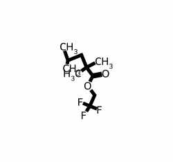 CC(C)CC(C)(C)C(=O)OCC(F)(F)F